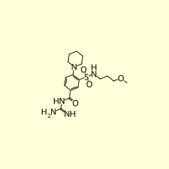 COCCCNS(=O)(=O)c1cc(C(=O)NC(=N)N)ccc1N1CCCCC1